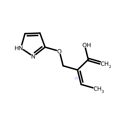 C=C(O)/C(=C\C)COc1cc[nH]n1